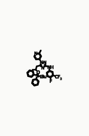 Cc1cc(-n2nc(Nc3ccc(F)c(C(F)(F)F)c3)nc2CC(C)O[Si](c2ccccc2)(c2ccccc2)C(C)(C)C)ccn1